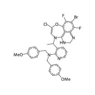 COc1ccc(CN(Cc2ccc(OC)cc2)c2ncccc2C(C)N2C=C(Cl)Oc3c(F)c(Br)c(F)c4c3=C2NCN=4)cc1